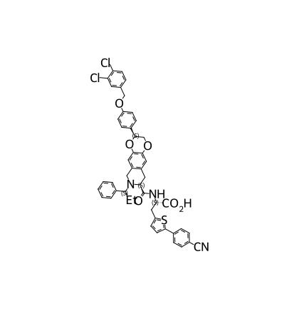 CC[C@@H](c1ccccc1)N1Cc2cc3c(cc2C[C@H]1C(=O)N[C@@H](Cc1ccc(-c2ccc(C#N)cc2)s1)C(=O)O)OC[C@H](c1ccc(OCc2ccc(Cl)c(Cl)c2)cc1)O3